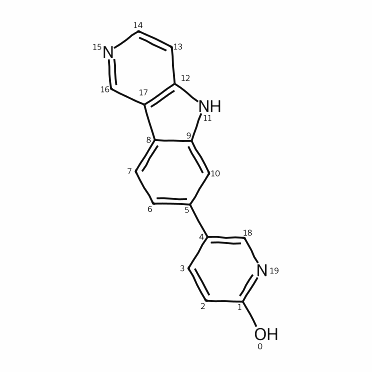 Oc1ccc(-c2ccc3c(c2)[nH]c2ccncc23)cn1